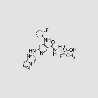 CC(C)(O)[C@H](F)CNC(=O)c1cnc(Nc2ccn3nccc3n2)cc1NC1CCCC1F